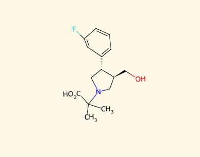 CC(C)(C(=O)O)N1C[C@H](CO)[C@@H](c2cccc(F)c2)C1